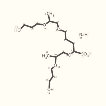 CC(COCCCC(OCC(C)OCCCO)S(=O)(=O)O)OCCCO.[NaH]